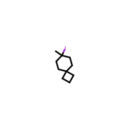 CC1(I)CCC2(CCC2)CC1